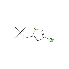 CC(C)(C)Cc1cc(Br)cs1